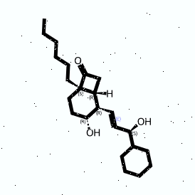 CCCCCC[C@]12CC[C@@H](O)[C@H](/C=C/[C@@H](O)C3CCCCC3)[C@H]1CC2=O